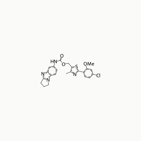 COc1cc(Cl)ccc1-c1nc(C)c(COC(=O)Nc2ccc3c(c2)nc2n3CCC2)s1